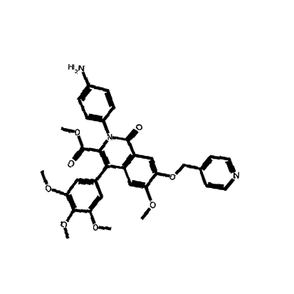 COC(=O)c1c(-c2cc(OC)c(OC)c(OC)c2)c2cc(OC)c(OCc3ccncc3)cc2c(=O)n1-c1ccc(N)cc1